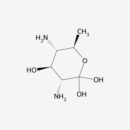 C[C@H]1OC(O)(O)[C@H](N)[C@@H](O)[C@@H]1N